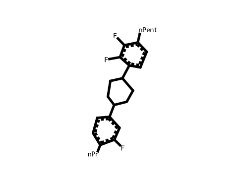 CCCCCc1ccc(C2CCC(c3ccc(CCC)c(F)c3)CC2)c(F)c1F